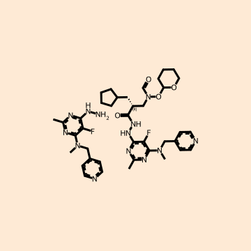 Cc1nc(NN)c(F)c(N(C)Cc2ccncc2)n1.Cc1nc(NNC(=O)[C@H](CC2CCCC2)CN(C=O)OC2CCCCO2)c(F)c(N(C)Cc2ccncc2)n1